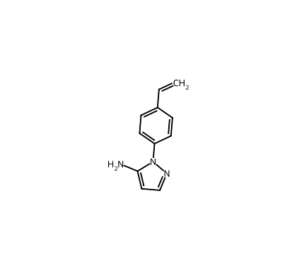 C=Cc1ccc(-n2nccc2N)cc1